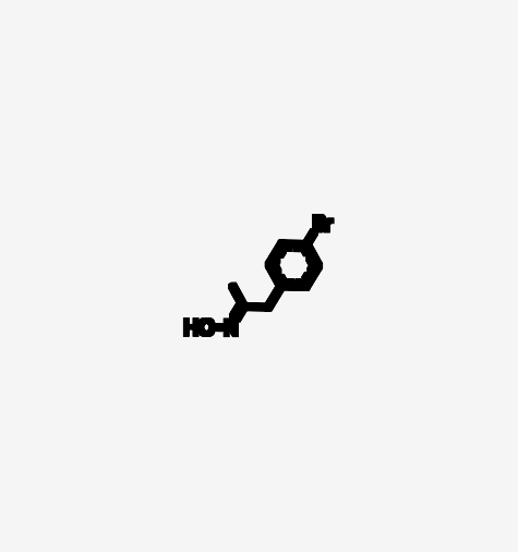 C/C(Cc1ccc(Br)cc1)=N\O